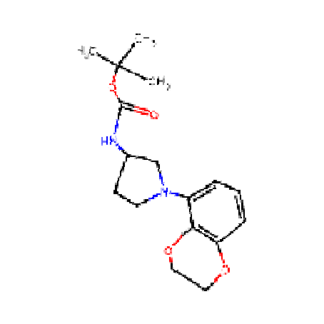 CC(C)(C)OC(=O)NC1CCN(c2cccc3c2OCCO3)C1